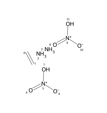 C=C.N.N.O=[N+]([O-])O.O=[N+]([O-])O